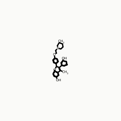 CC1=C(c2cccc(O)c2)C(c2ccc(OCCN3CCCC(C)C3)cc2)Oc2ccc(O)cc21